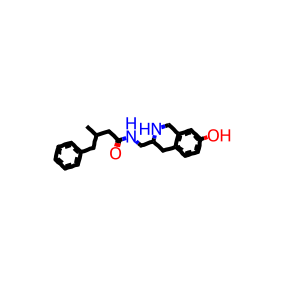 CC(CC(=O)NCC1Cc2ccc(O)cc2CN1)Cc1ccccc1